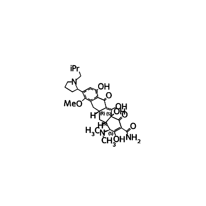 COc1c(C2CCCN2CC(C)C)cc(O)c2c1C[C@H]1C[C@H]3[C@H](N(C)C)C(O)=C(C(N)=O)C(=O)[C@@]3(O)C(O)=C1C2=O